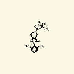 Cc1cccc(C)c1-n1nc2c(c1I)CN(C(=O)OC(C)(C)C)CC2